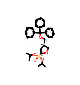 CC(C)OP(=O)(OC(C)C)[C@H]1C[C@@H](C(F)OC(c2ccccc2)(c2ccccc2)c2ccccc2)CO1